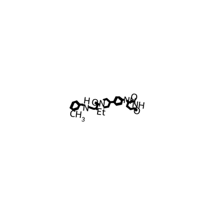 CCC(CCNCc1cccc(C)c1)C(=O)N1CCC(c2ccc(NC3CCC(=O)NC3=O)cc2)CC1